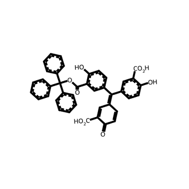 O=C(O)C1=CC(=C(c2ccc(O)c(C(=O)O)c2)c2ccc(O)c(C(=O)OC(c3ccccc3)(c3ccccc3)c3ccccc3)c2)C=CC1=O